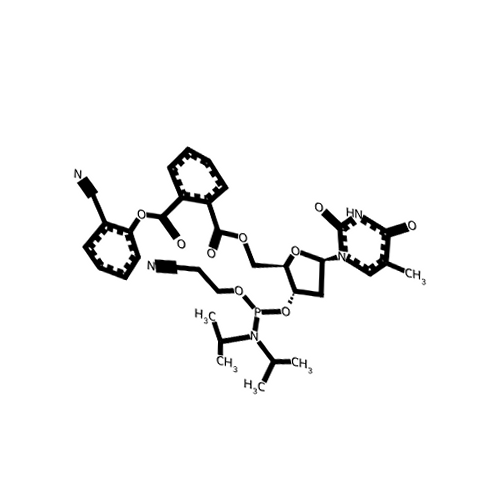 Cc1cn([C@H]2C[C@H](OP(OCCC#N)N(C(C)C)C(C)C)[C@@H](COC(=O)c3ccccc3C(=O)Oc3ccccc3C#N)O2)c(=O)[nH]c1=O